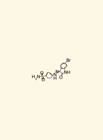 NS(=O)(=O)C1=CC=C(N/N=C2\C(=O)Nc3cc(Br)ccc32)CC1